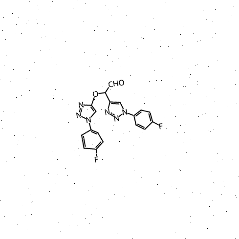 O=CC(Oc1cn(-c2ccc(F)cc2)nn1)c1cn(-c2ccc(F)cc2)nn1